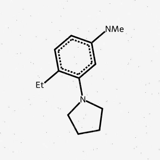 CCc1ccc(NC)cc1N1CCCC1